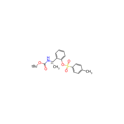 Cc1ccc(S(=O)(=O)Oc2ccccc2[C@H](C)NC(=O)OC(C)(C)C)cc1